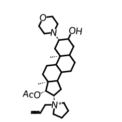 C=CC[N+]1([C@H]2CC3C4CCC5CC(O)[C@@H](N6CCOCC6)C[C@]5(C)C4CC[C@]3(C)[C@H]2OC(C)=O)CCCC1